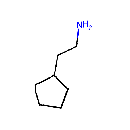 NCCC1CCCC1